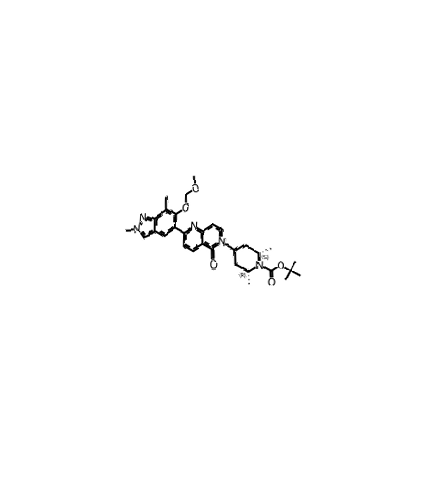 COCOc1c(-c2ccc3c(=O)n(C4C[C@@H](C)N(C(=O)OC(C)(C)C)[C@@H](C)C4)ccc3n2)cc2cn(C)nc2c1C